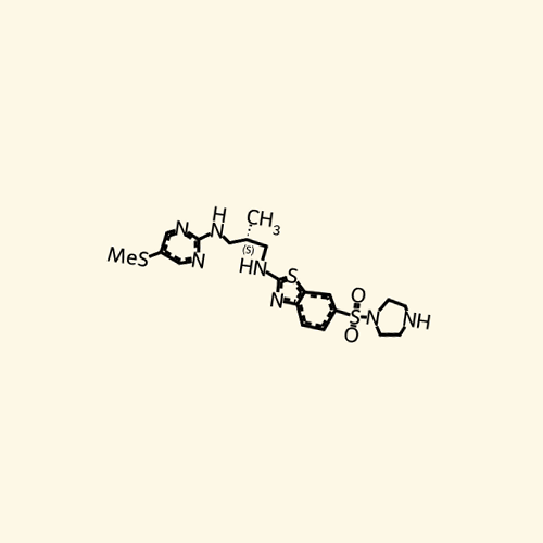 CSc1cnc(NC[C@H](C)CNc2nc3ccc(S(=O)(=O)N4CCNCC4)cc3s2)nc1